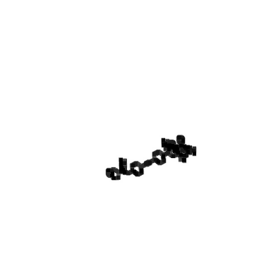 CNC(Cc1nc[nH]c(=O)c1O)c1ccc(C#Cc2ccc(CN[C@@H]3CCOC3)cc2)cc1